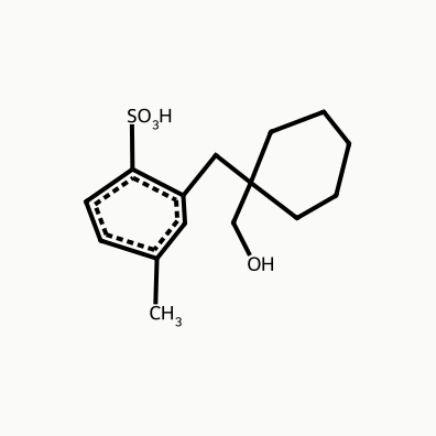 Cc1ccc(S(=O)(=O)O)c(CC2(CO)CCCCC2)c1